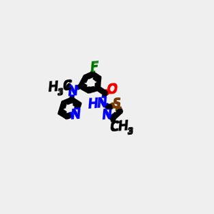 Cc1csc(NC(=O)c2cc(F)cc(N(C)c3cccnc3)c2)n1